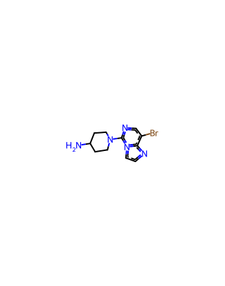 NC1CCN(c2ncc(Br)c3nccn23)CC1